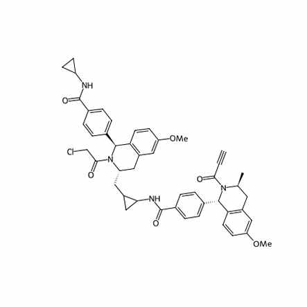 C#CC(=O)N1[C@@H](c2ccc(C(=O)NC3CC3C[C@H]3Cc4cc(OC)ccc4[C@H](c4ccc(C(=O)NC5CC5)cc4)N3C(=O)CCl)cc2)c2ccc(OC)cc2C[C@@H]1C